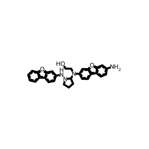 Nc1ccc2c(c1)oc1cc(N(CCO)C3CCCN3Nc3ccc4c(c3)oc3ccccc34)ccc12